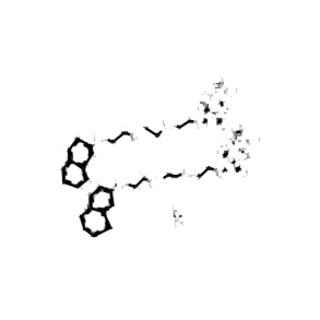 O=S(=O)([O-])OS(=O)(=O)OCCOCCOCCOc1ccc2ccccc2c1.O=S(=O)([O-])OS(=O)(=O)OCCOCCOCCOc1ccc2ccccc2c1.[K+].[K+]